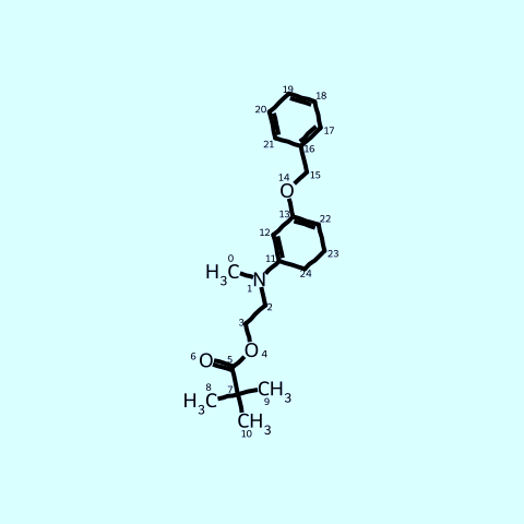 CN(CCOC(=O)C(C)(C)C)C1=CC(OCc2ccccc2)=CCC1